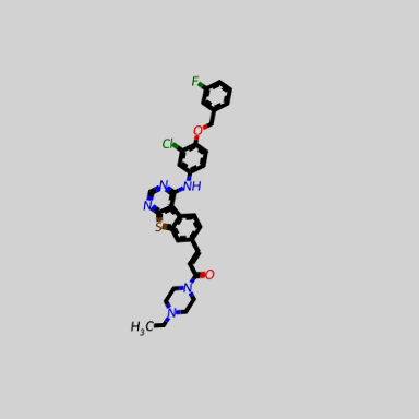 CCN1CCN(C(=O)C=Cc2ccc3c(c2)sc2ncnc(Nc4ccc(OCc5cccc(F)c5)c(Cl)c4)c23)CC1